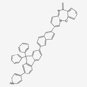 C=C1N=C2C=CC(c3ccc4cc(-c5ccc6c(c5)C(c5ccccc5)(c5ccccc5)c5cc(C7=CCNC=C7)ccc5-6)ccc4c3)=CN2Oc2ccccc21